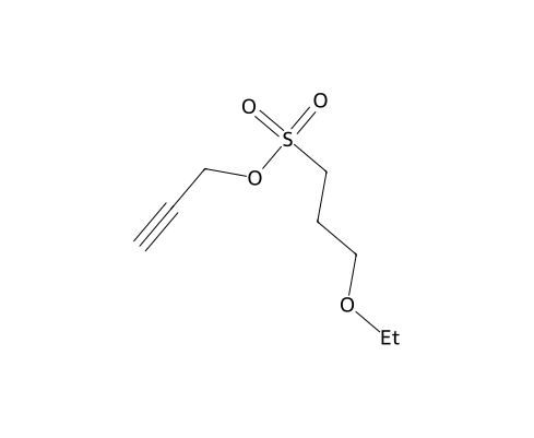 C#CCOS(=O)(=O)CCCOCC